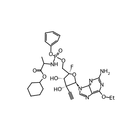 C#C[C@]1(O)[C@H](n2cnc3c(OCC)nc(N)nc32)O[C@](F)(COP(=O)(NC(C)C(=O)OC2CCCCC2)Oc2ccccc2)[C@H]1O